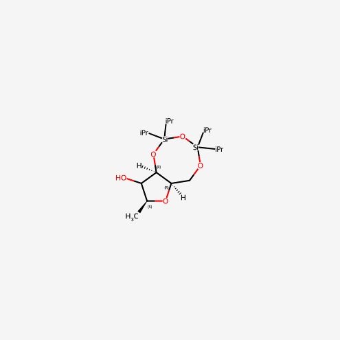 CC(C)[Si]1(C(C)C)OC[C@H]2O[C@@H](C)C(O)[C@H]2O[Si](C(C)C)(C(C)C)O1